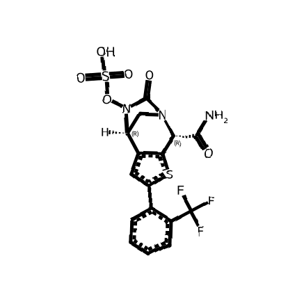 NC(=O)[C@@H]1c2sc(-c3ccccc3C(F)(F)F)cc2[C@@H]2CN1C(=O)N2OS(=O)(=O)O